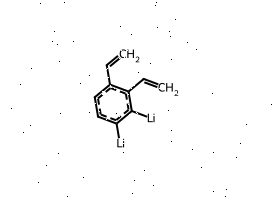 [Li][c]1ccc(C=C)c(C=C)[c]1[Li]